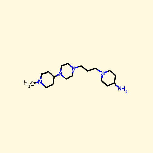 CN1CCC(N2CCN(CCCN3CCC(N)CC3)CC2)CC1